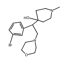 CN1CCC(O)(C(CN2CCOCC2)c2cccc(Br)c2)CC1